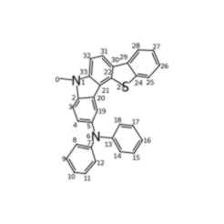 Cn1c2ccc(N(c3ccccc3)c3ccccc3)cc2c2c3sc4ccccc4c3ccc21